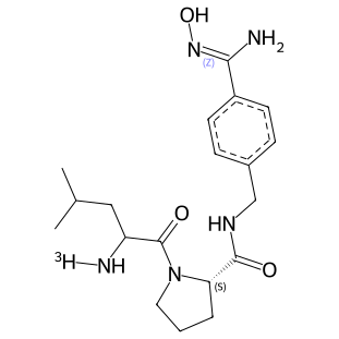 [3H]NC(CC(C)C)C(=O)N1CCC[C@H]1C(=O)NCc1ccc(/C(N)=N/O)cc1